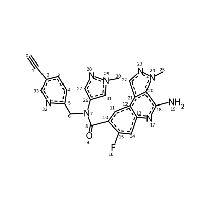 C#Cc1ccc(CN(C(=O)c2cc3c(cc2F)nc(N)c2c3cnn2C)c2cnn(C)c2)nc1